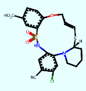 N#Cc1cc2c(cc1Cl)N1CCCC[C@H]1C/C=C/COc1ccc(C(=O)O)cc1S(=O)(=O)N2